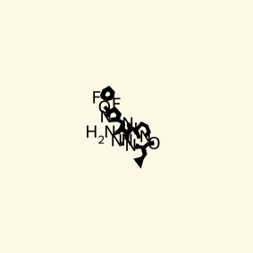 N#CC(=CC1CC1)C(=O)N1CCCC(n2nc(-c3ccc(Oc4c(F)cccc4F)nc3)c3c(N)ncnc32)C1